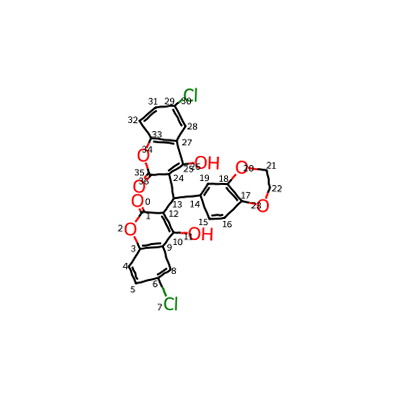 O=c1oc2ccc(Cl)cc2c(O)c1C(c1ccc2c(c1)OCCO2)c1c(O)c2cc(Cl)ccc2oc1=O